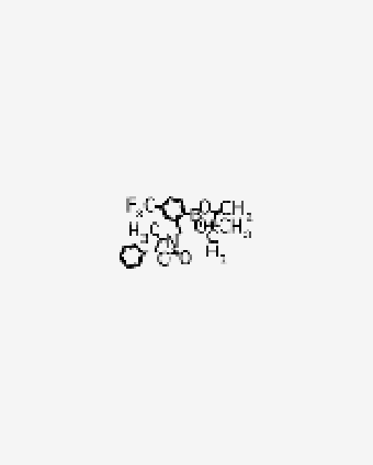 C=C1OB(c2ccc(C(F)(F)F)cc2CN2C(=O)O[C@H](c3ccccc3)[C@@H]2C)OC1(C)C